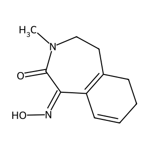 CN1CCC2=C(C=CCC2)C(=NO)C1=O